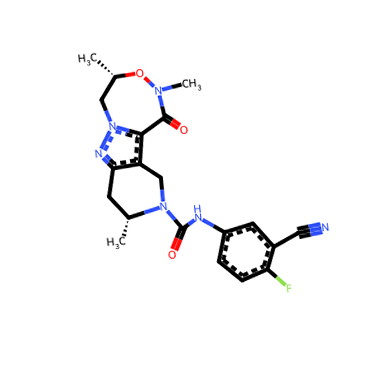 C[C@@H]1Cc2nn3c(c2CN1C(=O)Nc1ccc(F)c(C#N)c1)C(=O)N(C)O[C@@H](C)C3